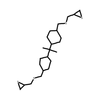 CC(C)(C1CCC(CSCC2CS2)CC1)C1CCC(CSCC2CS2)CC1